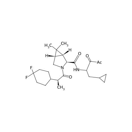 CC(=O)C(=O)C(CC1CC1)NC(=O)[C@@H]1[C@@H]2[C@H](CN1C(=O)[C@@H](C)C1CCC(F)(F)CC1)C2(C)C